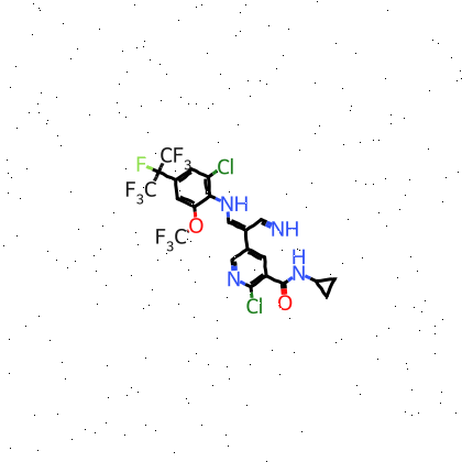 N=C/C(=C\Nc1c(Cl)cc(C(F)(C(F)(F)F)C(F)(F)F)cc1OC(F)(F)F)c1cnc(Cl)c(C(=O)NC2CC2)c1